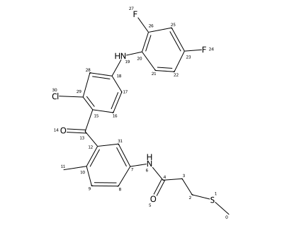 CSCCC(=O)Nc1ccc(C)c(C(=O)c2ccc(Nc3ccc(F)cc3F)cc2Cl)c1